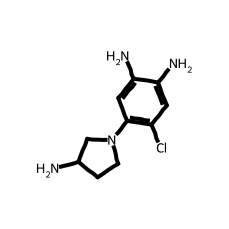 Nc1cc(Cl)c(N2CCC(N)C2)cc1N